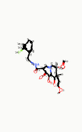 COCC[C@]1(C)C(=O)c2c(O)c(=O)c(C(=O)NCc3ccccc3F)cn2C[C@@H]1OC